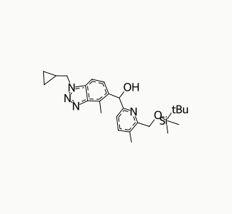 Cc1ccc(C(O)c2ccc3c(nnn3CC3CC3)c2C)nc1CO[Si](C)(C)C(C)(C)C